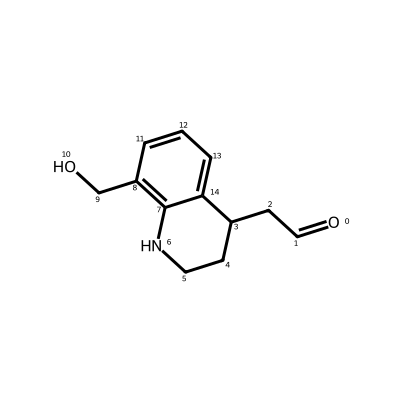 O=CCC1CCNc2c(CO)cccc21